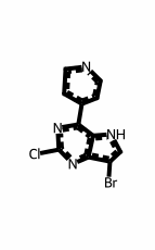 Clc1nc(-c2ccncc2)c2[nH]cc(Br)c2n1